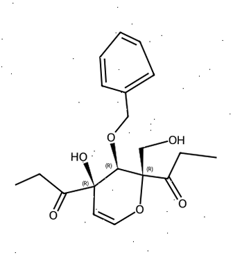 CCC(=O)[C@]1(CO)OC=C[C@](O)(C(=O)CC)[C@H]1OCc1ccccc1